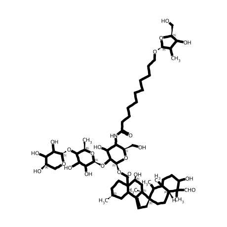 CC1C(O)[C@H](CO)O[C@H]1OCCCCCCCCCCC(=O)NC1C(O)C(O[C@@H]2O[C@H](C)C(O[C@@H]3OC[C@@H](O)C(O)C3O)C(O)C2O)[C@H](OC(=O)C23CC[C@@H](C)CC2C2=CC[C@@]4(CC[C@H]5C(C)(C=O)C(O)CCC5(C)C4C)[C@]2(C)C[C@H]3O)O[C@@H]1CO